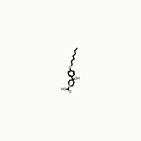 CCCCCCCOc1ccc(C2(O)CCN(C(=O)O)CC2)cc1